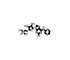 O=P(O)(O)CC[C@H]1O[C@@H](n2cnc3c(Nc4cnccn4)nc(Cl)nc32)C(O)C1O